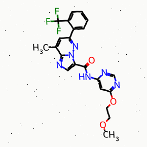 COCCOc1cc(NC(=O)c2cnc3c(C)cc(-c4ccccc4C(F)(F)F)nn23)ncn1